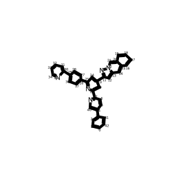 c1ccc(-c2ccc(-c3cc(-c4cc5cc6ccccc6cn5n4)cc(-c4ccc(-c5ccccn5)cc4)n3)nc2)cc1